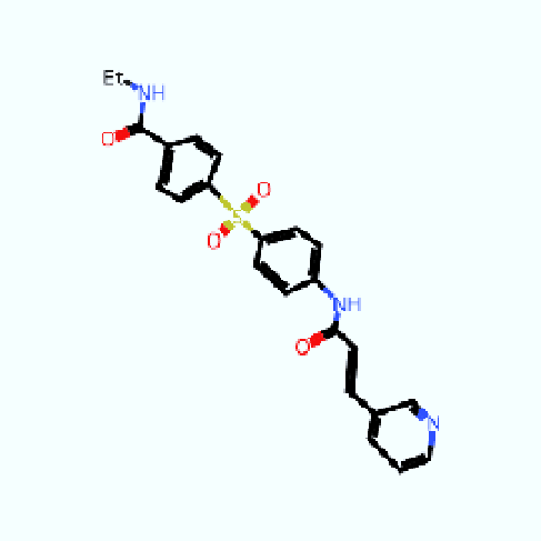 CCNC(=O)c1ccc(S(=O)(=O)c2ccc(NC(=O)C=Cc3cccnc3)cc2)cc1